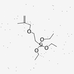 C=C(C)COCC[Si](OCC)(OCC)OCC